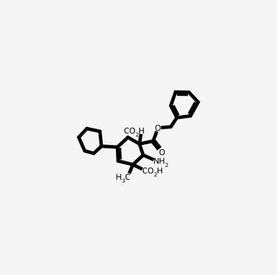 CC1(C(=O)O)C=C(C2CCCCC2)CC(C(=O)O)(C(=O)OCc2ccccc2)C1N